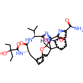 CCC(O)(CC)C(=O)N[C@H]1Cc2ccc3c(c2)C2(c4ccccc4N[C@H]2O3)c2oc(nc2-c2nc(C(N)=O)co2)[C@H](C(C)C)NC1=O